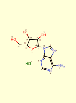 Cl.Nc1ncnc2c1ncn2[C@@H]1O[C@H](CO)[C@@H](Br)[C@H]1O